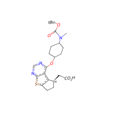 CN(C(=O)OC(C)(C)C)C1CCC(Oc2ncnc3sc4c(c23)[C@@H](CC(=O)O)CC4)CC1